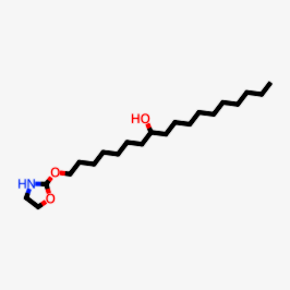 CCCCCCCCCCC(O)CCCCCCCOC1NCCO1